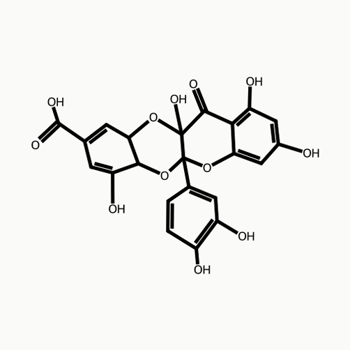 O=C(O)C1=CC2OC3(O)C(=O)c4c(O)cc(O)cc4OC3(c3ccc(O)c(O)c3)OC2C(O)=C1